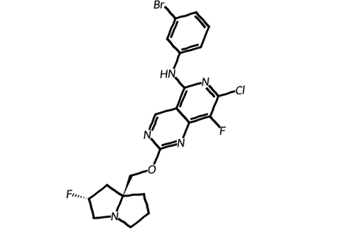 Fc1c(Cl)nc(Nc2cccc(Br)c2)c2cnc(OC[C@@]34CCCN3C[C@H](F)C4)nc12